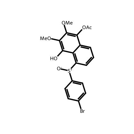 COc1c(OC)c(O)c2c([S+]([O-])c3ccc(Br)cc3)cccc2c1OC(C)=O